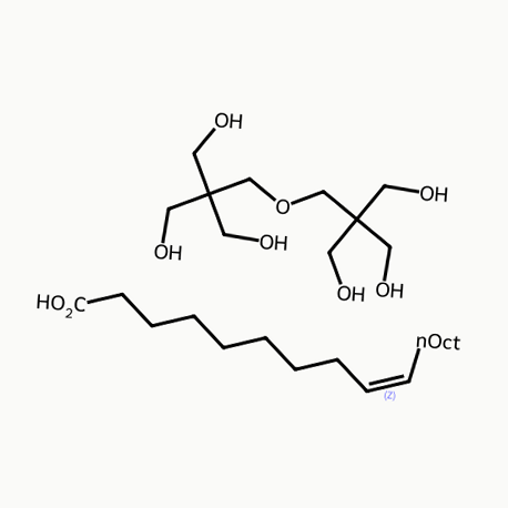 CCCCCCCC/C=C\CCCCCCCC(=O)O.OCC(CO)(CO)COCC(CO)(CO)CO